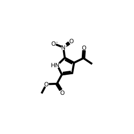 COC(=O)c1cc(C(C)=O)c([N+](=O)[O-])[nH]1